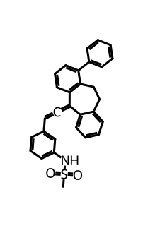 CS(=O)(=O)Nc1cccc(C=C=C2c3ccccc3CCc3c2cccc3-c2ccccc2)c1